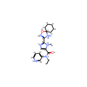 CCN(C(=O)c1cnc(C2=NOC3(CCCCC3)N2)n1C)c1cccnc1